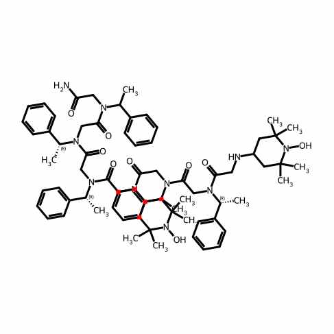 CC(c1ccccc1)N(CC(N)=O)C(=O)CN(C(=O)CN(C(=O)CN(C(=O)CN(C(=O)CN(C(=O)CNC1CC(C)(C)N(O)C(C)(C)C1)[C@H](C)c1ccccc1)C(C)c1ccccc1)C1CC(C)(C)N(O)C(C)(C)C1)[C@H](C)c1ccccc1)[C@H](C)c1ccccc1